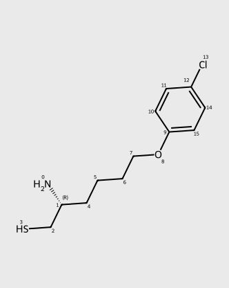 N[C@@H](CS)CCCCOc1ccc(Cl)cc1